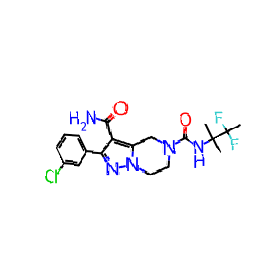 CC(F)(F)C(C)(C)NC(=O)N1CCn2nc(-c3cccc(Cl)c3)c(C(N)=O)c2C1